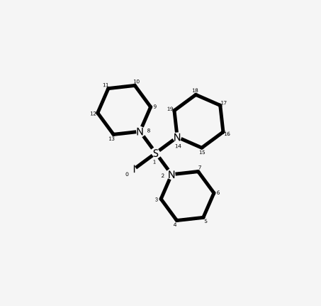 IS(N1CCCCC1)(N1CCCCC1)N1CCCCC1